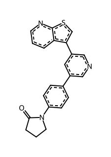 O=C1CCCN1c1ccc(-c2cncc(-c3csc4ncccc34)c2)cc1